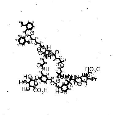 C=Cc1ccccc1CN(C(=O)CCCCC(=O)NC(CNC(=O)CCC(C)(C)OCCC(C)(C)OC)C(=O)NCCC(=O)NCc1cc(COC(=O)Nc2cccc(C(C)(C)C(NC)C(=O)NC(C(=O)N(C)C(/C=C(\C)C(=O)O)C(C)C)C(C)(C)C)c2)ccc1OC1OC(C(=O)O)C(O)C(O)C1O)c1ccccc1CC